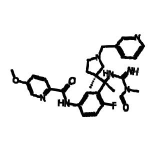 COc1ccc(C(=O)Nc2ccc(F)c([C@@](C)(NC(=N)N(C)C=O)[C@@]3(C)CCN(Cc4cccnc4)C3)c2)nc1